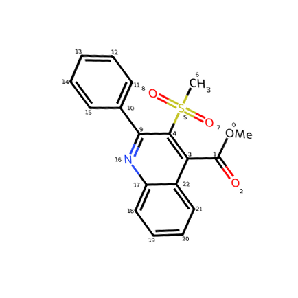 COC(=O)c1c(S(C)(=O)=O)c(-c2ccccc2)nc2ccccc12